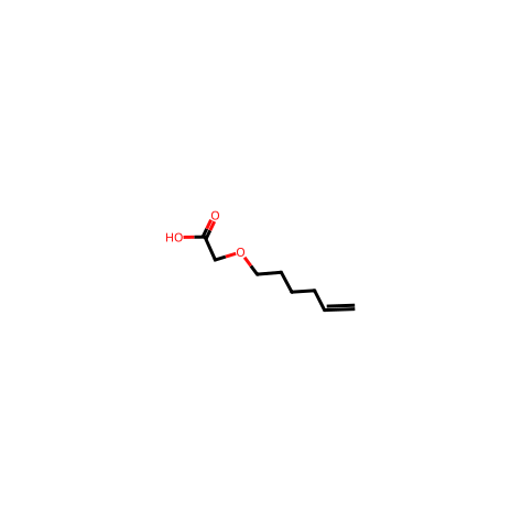 C=CCCCCOCC(=O)O